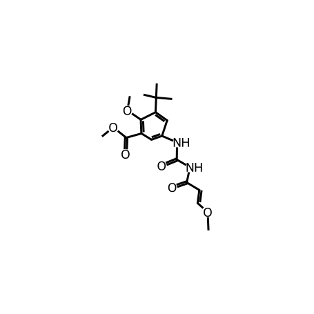 COC=CC(=O)NC(=O)Nc1cc(C(=O)OC)c(OC)c(C(C)(C)C)c1